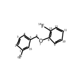 Fc1cccc(COc2[c]cccc2F)c1